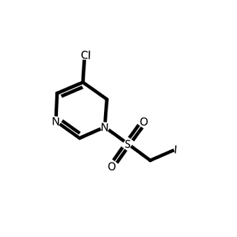 O=S(=O)(CI)N1C=NC=C(Cl)C1